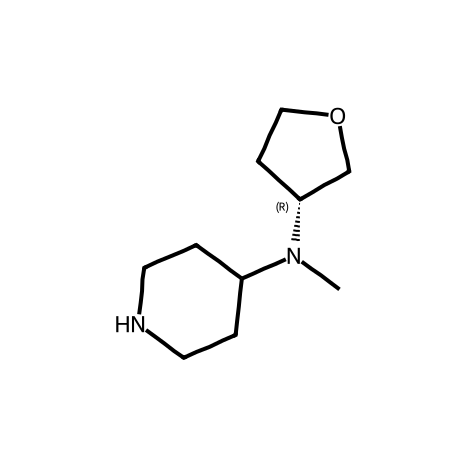 CN(C1CCNCC1)[C@@H]1CCOC1